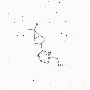 OCc1ccnc(N2CC3C(C2)C3(F)F)n1